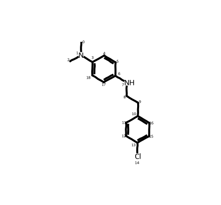 CN(C)c1ccc(NCCc2ccc(Cl)cc2)cc1